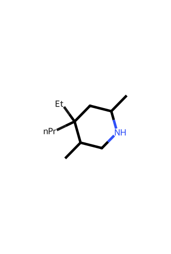 CCCC1(CC)CC(C)NCC1C